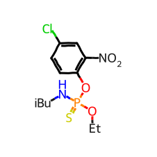 CCOP(=S)(NC(C)CC)Oc1ccc(Cl)cc1[N+](=O)[O-]